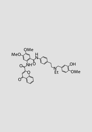 CCN(CCc1ccc(NC(=O)c2cc(OC)c(OC)cc2NC(=O)c2cc(=O)c3ccccc3o2)cc1)Cc1ccc(OC)c(O)c1